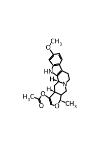 COc1ccc2c3c([nH]c2c1)[C@H]1C[C@H]2C(OC(C)=O)=CO[C@H](C)C2CN1CC3